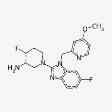 COc1ccnc(Cn2c(N3CCC(F)C(N)C3)nc3ccc(F)cc32)c1